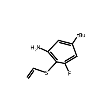 C=CSc1c(N)cc(C(C)(C)C)cc1F